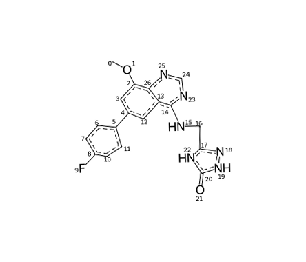 COc1cc(-c2ccc(F)cc2)cc2c(NCc3n[nH]c(=O)[nH]3)ncnc12